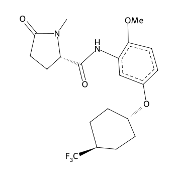 COc1ccc(O[C@H]2CC[C@H](C(F)(F)F)CC2)cc1NC(=O)[C@@H]1CCC(=O)N1C